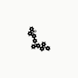 O=c1c2ccccc2c2cccc3c4cc(-c5ccc(-n6c7ccccc7c7cc(-c8cccc9c8c8ccccc8n9-c8ccccc8)ccc76)cc5)ccc4n1c23